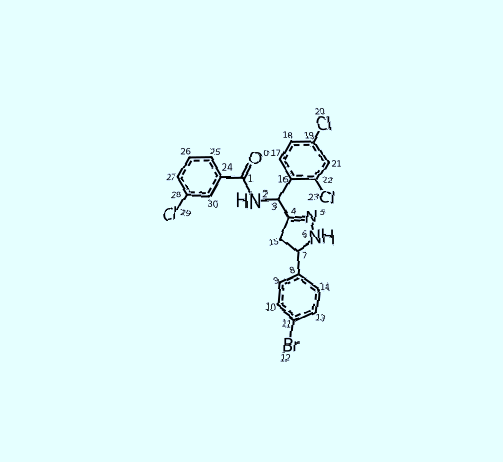 O=C(NC(C1=NNC(c2ccc(Br)cc2)C1)c1ccc(Cl)cc1Cl)c1cccc(Cl)c1